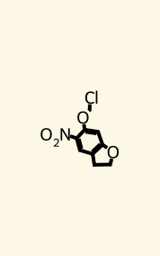 O=[N+]([O-])c1cc2c(cc1OCCl)OCC2